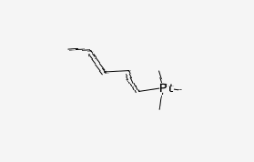 CC=CC=[CH][Pt]([CH3])([CH3])[CH3]